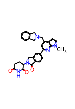 Cn1ccc2c(CN3Cc4ccccc4C3)cc(-c3ccc4c(c3)CN(C3CCC(=O)NC3=O)C4=O)nc21